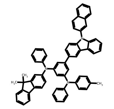 Cc1ccc(N(c2ccccc2)c2cc(-c3ccc4c(c3)c3ccccc3n4-c3ccc4ccccc4c3)cc(N(c3ccccc3)c3ccc4c(c3)C(C)(C)c3ccccc3-4)c2)cc1